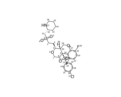 O=S(=O)(CC[C@@H]1OCC[C@@]2(S(=O)(=O)c3ccc(Cl)cc3)c3c(F)ccc(F)c3OC[C@@H]12)C[C@H]1CCCCN1